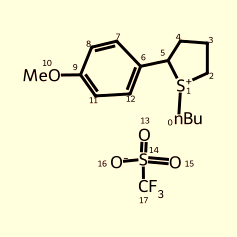 CCCC[S+]1CCCC1c1ccc(OC)cc1.O=S(=O)([O-])C(F)(F)F